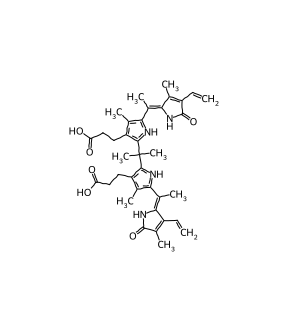 C=CC1=C(C)/C(=C(\C)c2[nH]c(C(C)(C)c3[nH]c(/C(C)=C4\NC(=O)C(C)=C4C=C)c(C)c3CCC(=O)O)c(CCC(=O)O)c2C)NC1=O